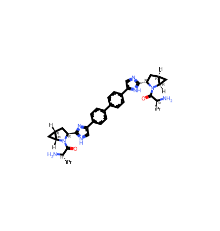 CC(C)[C@H](N)C(=O)N1[C@@H]2C[C@@H]2C[C@H]1c1nc(-c2ccc(-c3ccc(-c4cnc([C@@H]5C[C@H]6C[C@H]6N5C(=O)[C@@H](N)C(C)C)[nH]4)cc3)cc2)c[nH]1